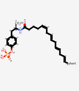 CCCCCC=CCC=CCC=CC/C=C\CCCC(=O)N[C@@H](Cc1ccc(OP(=O)(O)O)cc1)C(=O)O